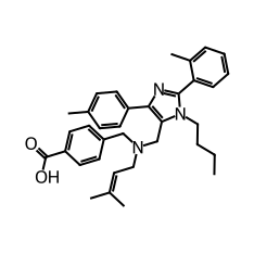 CCCCn1c(-c2ccccc2C)nc(-c2ccc(C)cc2)c1CN(CC=C(C)C)Cc1ccc(C(=O)O)cc1